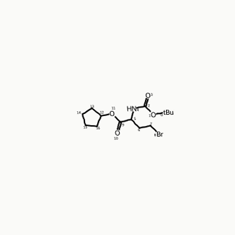 CC(C)(C)OC(=O)NC(CCBr)C(=O)OC1CCCC1